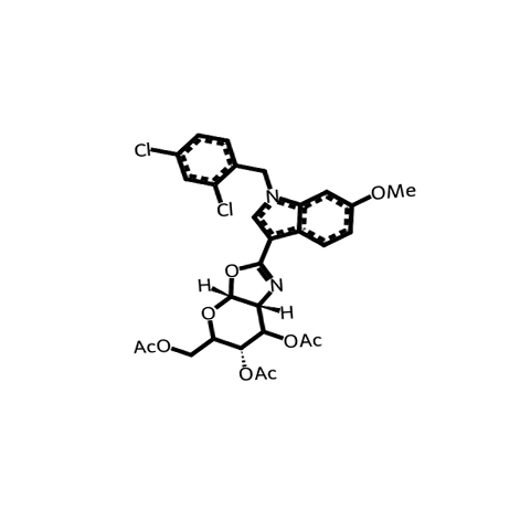 COc1ccc2c(C3=N[C@@H]4C(OC(C)=O)[C@H](OC(C)=O)C(COC(C)=O)O[C@@H]4O3)cn(Cc3ccc(Cl)cc3Cl)c2c1